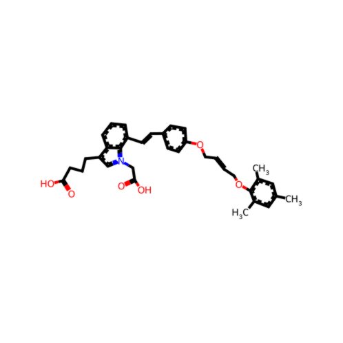 Cc1cc(C)c(OCC=CCOc2ccc(C=Cc3cccc4c(CCCC(=O)O)cn(CC(=O)O)c34)cc2)c(C)c1